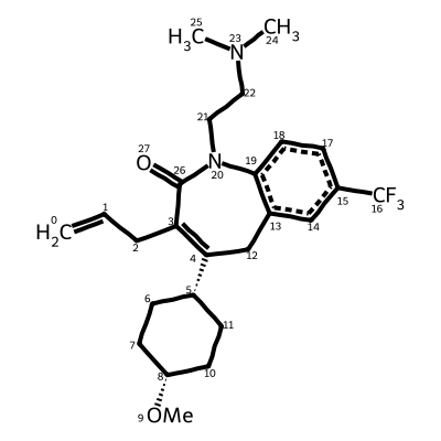 C=CCC1=C([C@H]2CC[C@@H](OC)CC2)Cc2cc(C(F)(F)F)ccc2N(CCN(C)C)C1=O